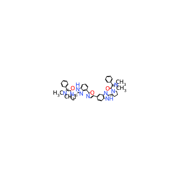 CN(C)[C@@H](C(=O)N1CCC[C@H]1c1nc2cc(-c3cnc(-c4cccc5[nH]c([C@@H]6CCCN6C(=O)[C@@H](c6ccccc6)N(C)C)nc45)o3)ccc2[nH]1)c1ccccc1